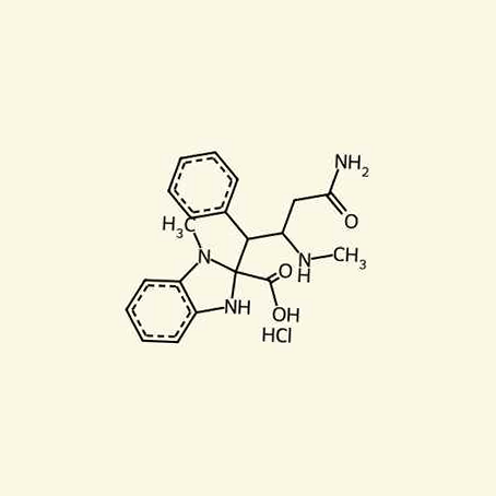 CNC(CC(N)=O)C(c1ccccc1)C1(C(=O)O)Nc2ccccc2N1C.Cl